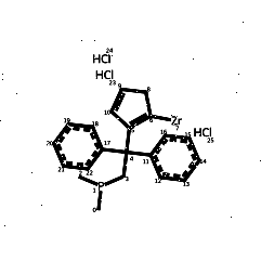 CP(C)CC(C1=[C]([Zr])CC=C1)(c1ccccc1)c1ccccc1.Cl.Cl.Cl